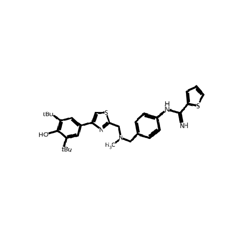 CN(Cc1ccc(NC(=N)c2cccs2)cc1)Cc1nc(-c2cc(C(C)(C)C)c(O)c(C(C)(C)C)c2)cs1